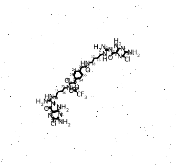 NC(=NC(=O)c1nc(Cl)c(N)nc1N)NCCCCNC(=O)Cc1ccc(C(OC(=O)C(F)(F)F)C(=O)NCCCCNC(N)=NC(=O)c2nc(Cl)c(N)nc2N)cc1